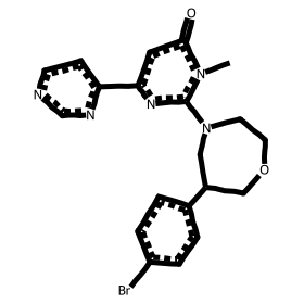 Cn1c(N2CCOCC(c3ccc(Br)cc3)C2)nc(-c2ccncn2)cc1=O